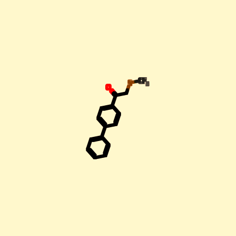 O=C(CSC(F)(F)F)c1ccc(-c2ccccc2)cc1